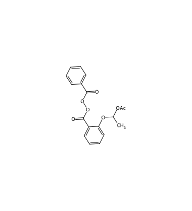 CC(=O)OC(C)Oc1ccccc1C(=O)OOC(=O)c1ccccc1